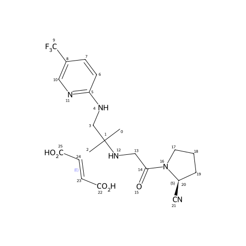 CC(C)(CNc1ccc(C(F)(F)F)cn1)NCC(=O)N1CCC[C@H]1C#N.O=C(O)/C=C/C(=O)O